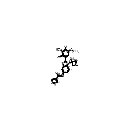 COc1cc(-c2nc3cc(NC(=O)c4cnoc4)ccc3n2C2(C)COC2)c(F)c(O)c1O